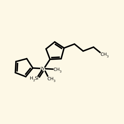 CCCCC1=CC[C]([Zr]([CH3])([CH3])(=[SiH2])[C]2=CC=CC2)=C1